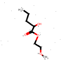 CCCC(O)C(=O)OCCOC